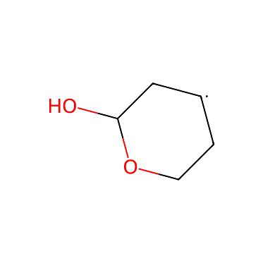 OC1C[CH]CCO1